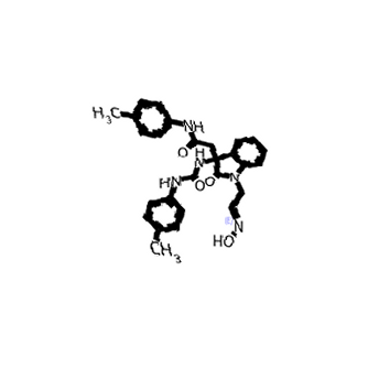 Cc1ccc(NC(=O)CC2(NC(=O)Nc3ccc(C)cc3)C(=O)N(C/C=N/O)c3ccccc32)cc1